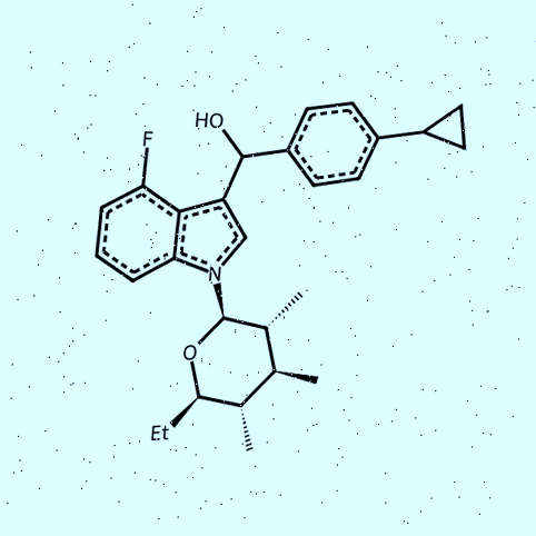 CC[C@H]1O[C@@H](n2cc(C(O)c3ccc(C4CC4)cc3)c3c(F)cccc32)[C@H](C)[C@@H](C)[C@@H]1C